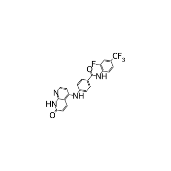 O=C(Nc1ccc(C(F)(F)F)cc1F)c1ccc(Nc2ccnc3[nH]c(=O)ccc23)cc1